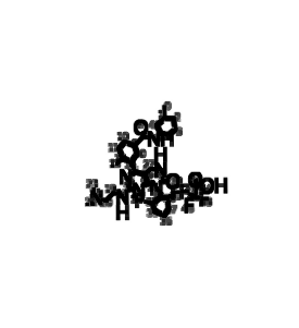 Cc1cccc(NC(=O)c2ccc(C)c(-c3nc(NCCN(C)C)nc4c3CNC(=O)N4c3c(F)cccc3F)c2)c1.O=C(O)C(F)(F)F